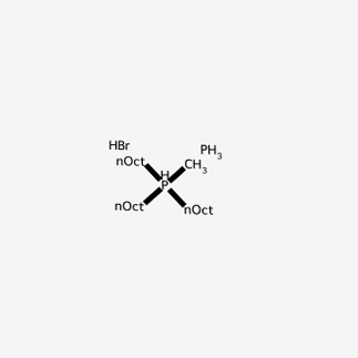 Br.CCCCCCCC[PH](C)(CCCCCCCC)CCCCCCCC.P